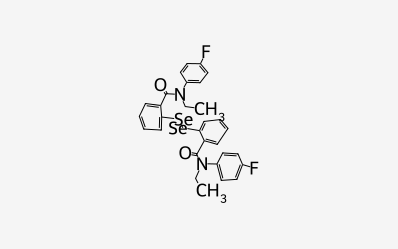 CCN(C(=O)c1ccccc1[Se][Se]c1ccccc1C(=O)N(CC)c1ccc(F)cc1)c1ccc(F)cc1